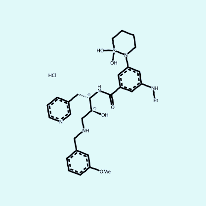 CCNc1cc(C(=O)N[C@@H](Cc2cccnc2)[C@@H](O)CNCc2cccc(OC)c2)cc(N2CCCCS2(O)O)c1.Cl